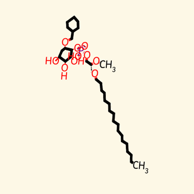 CCCCCCCCCCCCCCCCCCOC[C@H](COP(=O)(O)O[C@@H]1[C@@H](O)[C@H](O)[C@@H](O)C[C@@H]1OCC1CCCCC1)OC